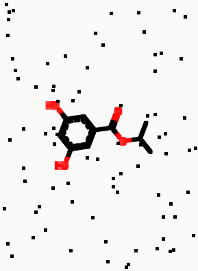 CC(C)OC(=O)c1cc(O)cc(O)c1